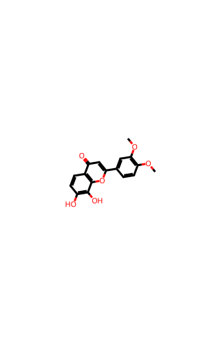 COc1ccc(-c2cc(=O)c3ccc(O)c(O)c3o2)cc1OC